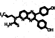 C=CCN(C(N)=S)c1ccc2nc(-c3ccc(O)cc3)c(-c3ccc(O)cc3)nc2n1